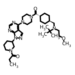 CCC(=O)N1CCCC(n2ncc3c(N4CCN(C(=O)[C@H]5CC[C@H](CN(CCOC)C(C)(C)C)CC5)CC4)ncnc32)C1